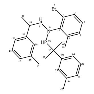 CCc1cccc(C)c1N(PC(C)c1cccc(C)c1)PC(C)(C)c1cccc(C)c1